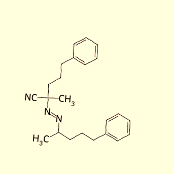 CC(CCCc1ccccc1)N=NC(C)(C#N)CCCc1ccccc1